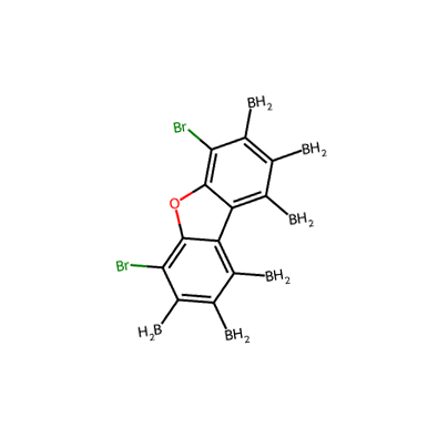 Bc1c(B)c(B)c2c(oc3c(Br)c(B)c(B)c(B)c32)c1Br